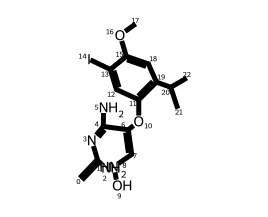 C=C(N)/N=C(N)\C(=C/NO)Oc1cc(I)c(OC)cc1C(C)C